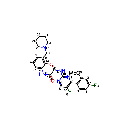 COc1cc(F)ccc1-c1nc(NC2Oc3c(CN4CCCCC4)cccc3NC2=O)ncc1F